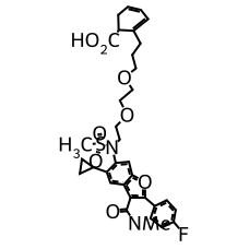 CNC(=O)c1c(-c2ccc(F)cc2)oc2cc(N(CCOCCOCCCC3=CC=CCC3C(=O)O)S(C)(=O)=O)c(C3CC3)cc12